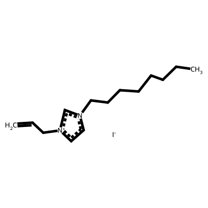 C=CC[n+]1ccn(CCCCCCCC)c1.[I-]